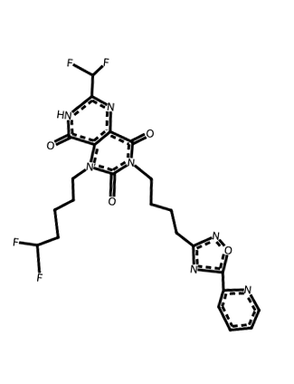 O=c1[nH]c(C(F)F)nc2c(=O)n(CCCCc3noc(-c4ccccn4)n3)c(=O)n(CCCCC(F)F)c12